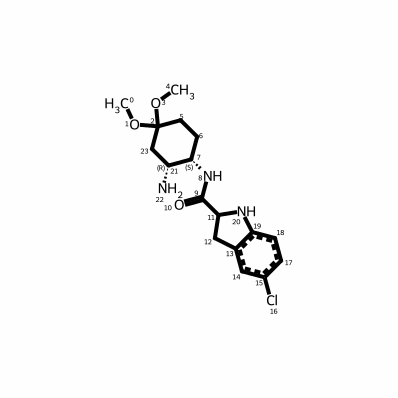 COC1(OC)CC[C@H](NC(=O)C2Cc3cc(Cl)ccc3N2)[C@H](N)C1